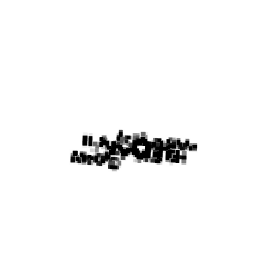 COC(=O)N(C)[C@@H](Cc1ccc(OP(=O)(O)OC)cc1)C(C)=O